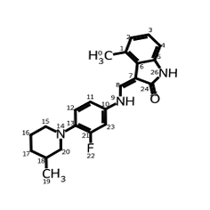 Cc1cccc2c1C(=CNc1ccc(N3CCCC(C)C3)c(F)c1)C(=O)N2